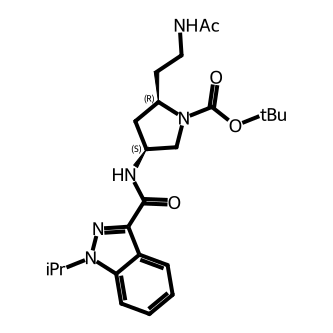 CC(=O)NCC[C@@H]1C[C@H](NC(=O)c2nn(C(C)C)c3ccccc23)CN1C(=O)OC(C)(C)C